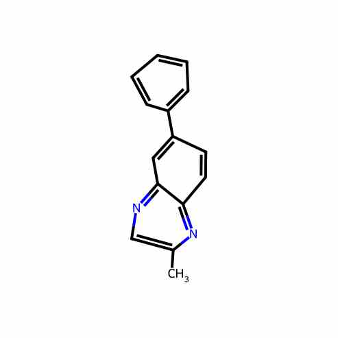 Cc1cnc2cc(-c3ccccc3)ccc2n1